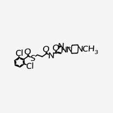 CN1CCN([n+]2cc([N-]C(=O)CCSC(=O)c3c(Cl)cccc3Cl)on2)CC1